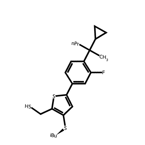 CCCC(C)(c1ccc(-c2cc(S[C@H](C)CC)c(CS)s2)cc1F)C1CC1